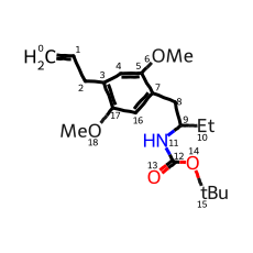 C=CCc1cc(OC)c(CC(CC)NC(=O)OC(C)(C)C)cc1OC